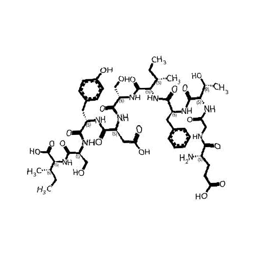 CC[C@H](C)[C@H](NC(=O)[C@H](CO)NC(=O)[C@H](Cc1ccc(O)cc1)NC(=O)[C@H](CC(=O)O)NC(=O)[C@H](CO)NC(=O)[C@@H](NC(=O)[C@H](Cc1ccccc1)NC(=O)[C@@H](NC(=O)CNC(=O)[C@@H](N)CCC(=O)O)[C@@H](C)O)[C@@H](C)CC)C(=O)O